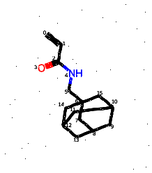 C=CC(=O)NCC12CC3CC(CC(C3)C1)C2